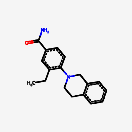 CCc1cc(C(N)=O)ccc1N1CCc2ccccc2C1